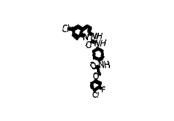 O=C(COc1ccc(Cl)c(F)c1)N[C@H]1CC[C@H](NC(=O)Nc2ccc3cc(Cl)ccc3n2)CC1